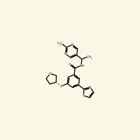 CC(NC(=O)c1cc(O[C@@H]2CCOC2)cc(-c2nccs2)c1)c1cnc(C(F)(F)F)nc1